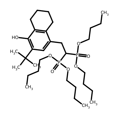 CCCCOP(=O)(OCCCC)C(Cc1cc(C(C)(C)C)c(O)c2c1CCCC2)P(=O)(OCCCC)OCCCC